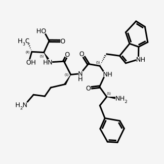 C[C@@H](O)[C@H](NC(=O)[C@H](CCCCN)NC(=O)[C@H](Cc1c[nH]c2ccccc12)NC(=O)[C@@H](N)Cc1ccccc1)C(=O)O